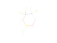 CC1(F)CO[P@](Cl)OC1(F)F